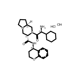 Cl.Cl.N[C@H](C(=O)N1C[C@@H]2CCCN2C[C@H]1C(=O)N[C@@H]1CCOc2ccccc21)C1CCCCC1